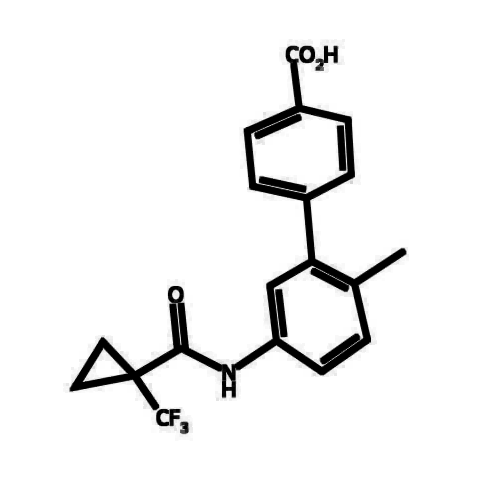 Cc1ccc(NC(=O)C2(C(F)(F)F)CC2)cc1-c1ccc(C(=O)O)cc1